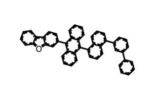 c1ccc(-c2cccc(-c3cccc4c(-c5c6ccccc6c(-c6ccc7c(c6)oc6ccccc67)c6ccccc56)cccc34)c2)cc1